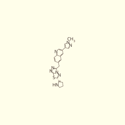 Cn1cc(-c2cnc3ccc(Cc4nnc5sc([C@@H]6CCCN6)nn45)cc3c2)cn1